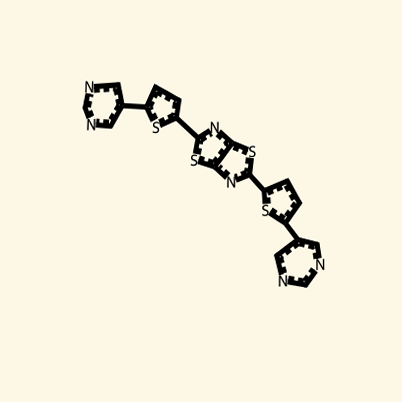 c1ncc(-c2ccc(-c3nc4sc(-c5ccc(-c6cncnc6)s5)nc4s3)s2)cn1